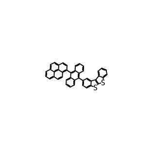 c1cc2ccc3ccc(-c4c5ccccc5c(-c5ccc6sc7sc8ccccc8c7c6c5)c5ccccc45)c4ccc(c1)c2c34